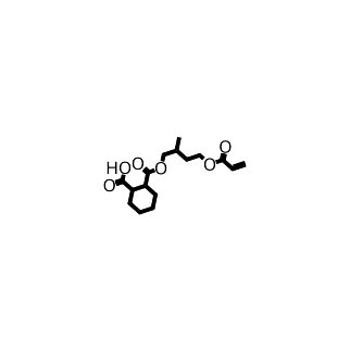 C=CC(=O)OCCC(C)COC(=O)C1CCCCC1C(=O)O